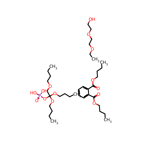 CCCCOC(=O)c1ccccc1C(=O)OCCCC.CCCCOCC(OCCCC)(OCCCC)OP(=O)(O)O.CCOCCOCCO